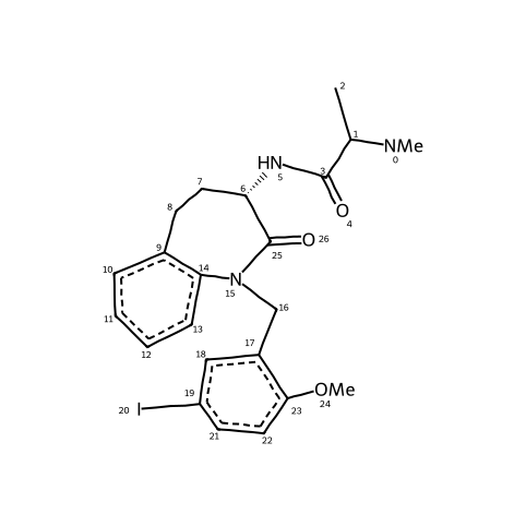 CNC(C)C(=O)N[C@H]1CCc2ccccc2N(Cc2cc(I)ccc2OC)C1=O